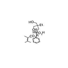 CC(C)=C(C)C(=O)O.CCC(CO)(CO)CO.O=C(O)c1ccccc1